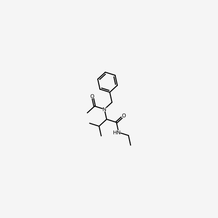 CCNC(=O)C(C(C)C)N(Cc1ccccc1)C(C)=O